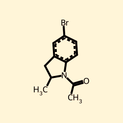 CC(=O)N1c2ccc(Br)cc2CC1C